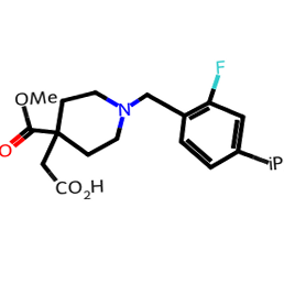 COC(=O)C1(CC(=O)O)CCN(Cc2ccc(C(C)C)cc2F)CC1